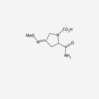 CON=C1CC(C(N)=O)N(C(=O)O)C1